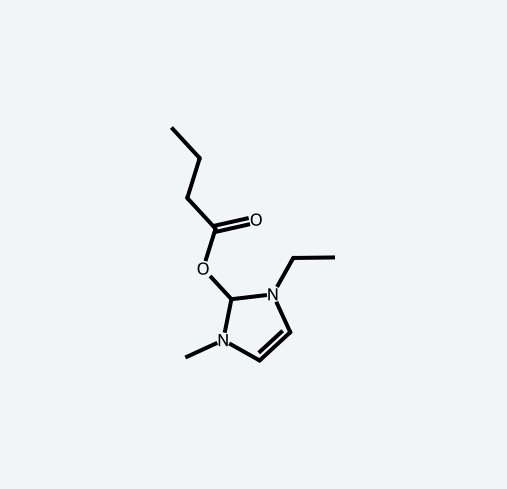 CCCC(=O)OC1N(C)C=CN1CC